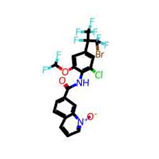 O=C(Nc1c(Cl)cc(C(F)(C(F)(F)F)C(F)(F)Br)cc1OC(F)F)c1ccc2ccc[n+]([O-])c2c1